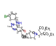 CCOC(=O)CC(CN1CCC(C(CC)Oc2cc3c(Nc4cccc(Br)c4)ncnc3cc2OC)CC1)C(=O)OCC